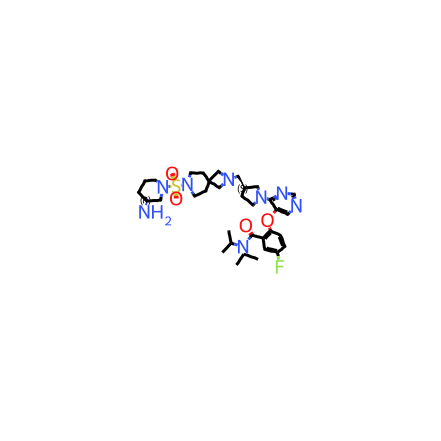 CC(C)N(C(=O)c1cc(F)ccc1Oc1cncnc1N1CC[C@@H](CN2CC3(CCN(S(=O)(=O)N4CCC[C@@H](N)C4)CC3)C2)C1)C(C)C